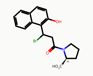 O=C(O)[C@@H]1CCCN1C(=O)CC(Br)c1c(O)ccc2ccccc12